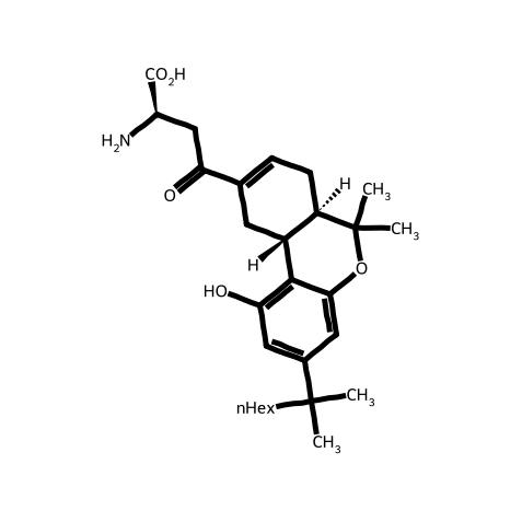 CCCCCCC(C)(C)c1cc(O)c2c(c1)OC(C)(C)[C@@H]1CC=C(C(=O)C[C@@H](N)C(=O)O)C[C@@H]21